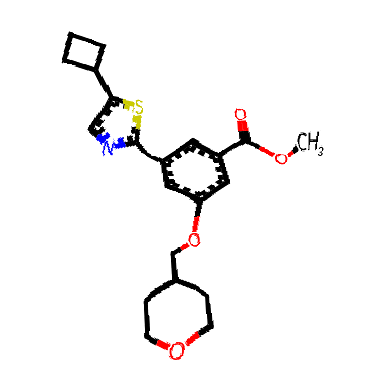 COC(=O)c1cc(OCC2CCOCC2)cc(-c2ncc(C3CCC3)s2)c1